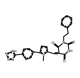 Cn1c(/C=C2/C(=O)NC(=S)N(CCc3ccccc3)C2=O)ccc1-c1ccc(-c2nnn[nH]2)cc1